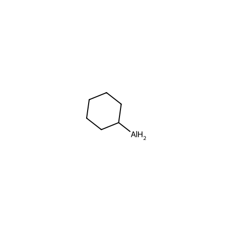 [AlH2][CH]1CCCCC1